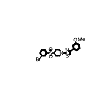 COc1cccc(-c2csc(N3CCC(S(=O)(=O)c4cccc(Br)c4)CC3)n2)c1